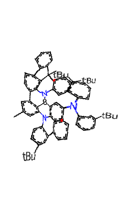 Cc1cc2c3c(c1)N(c1ccc(C(C)(C)C)cc1-c1ccccc1)c1ccc(N(c4cccc(C(C)(C)C)c4)c4cccc(C(C)(C)C)c4)cc1B3N(c1ccc(C(C)(C)C)cc1)c1c-2ccc2c1C(C)(C)c1ccccc1-2